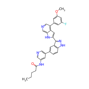 CCCCC(=O)Nc1cncc(-c2ccc3[nH]nc(-c4cc5c(-c6cc(F)cc(OC)c6)cncc5[nH]4)c3c2)c1